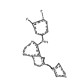 Fc1ccc(Nc2ncnc3ccc(-n4ccnc4)cc23)cc1F